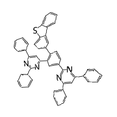 c1ccc(-c2cc(-c3ccccc3)nc(-c3ccc(-c4ccc5sc6ccccc6c5c4)c(-c4cc(-c5ccccc5)nc(-c5ccccc5)n4)c3)n2)cc1